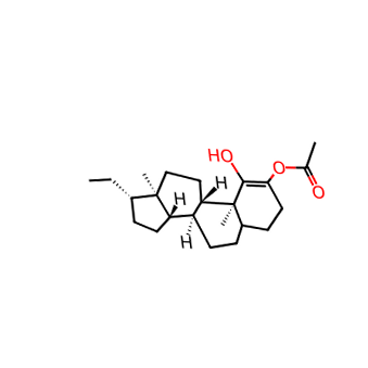 CC[C@H]1CC[C@H]2[C@@H]3CCC4CCC(OC(C)=O)=C(O)[C@]4(C)[C@H]3CC[C@]12C